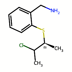 CC(Cl)[C@H](C)Sc1ccccc1CN